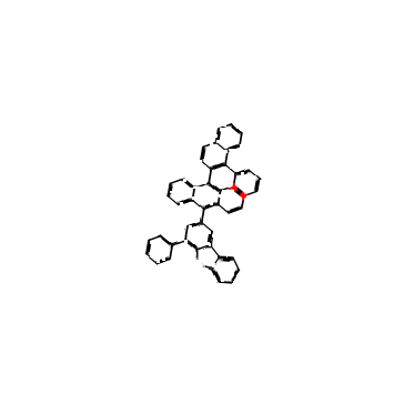 c1ccc(-c2c(-c3c4ccccc4c(-c4cc(-c5ccccc5)c5oc6ccccc6c5c4)c4ccccc34)ccc3ccccc23)cc1